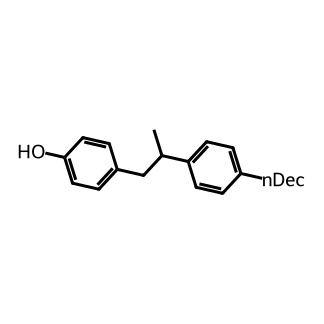 CCCCCCCCCCc1ccc(C(C)Cc2ccc(O)cc2)cc1